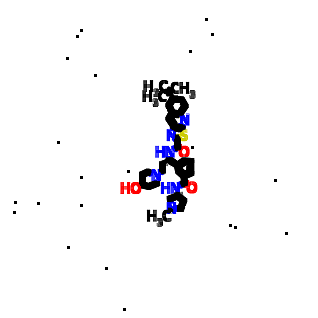 CN1CC[C@H](NC(=O)c2cccc([C@@H](CCN3CCC(O)CC3)NC(=O)c3nc4cc5c(nc4s3)CC[C@H](C(C)(C)C)C5)c2)C1